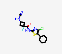 N#CN[C@H]1C[C@@](F)(C(=O)Nc2nc(Cl)c(C3CCCCC3)s2)C1